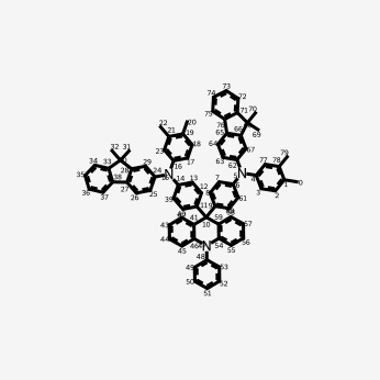 Cc1ccc(N(c2ccc(C3(c4ccc(N(c5ccc(C)c(C)c5)c5ccc6c(c5)C(C)(C)c5ccccc5-6)cc4)c4ccccc4N(c4ccccc4)c4ccccc43)cc2)c2ccc3c(c2)C(C)(C)c2ccccc2-3)cc1C